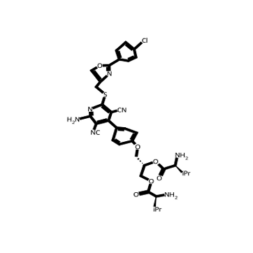 [C-]#[N+]c1c(N)nc(SCc2coc(-c3ccc(Cl)cc3)n2)c(C#N)c1-c1ccc(OC[C@@H](COC(=O)[C@@H](N)C(C)C)OC(=O)[C@@H](N)C(C)C)cc1